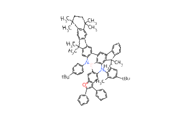 Cc1cc(C(C)(C)C)ccc1N1c2cc3c(-c4ccccc4)c(-c4ccccc4)oc3cc2B2c3c(cc4c(c31)C(C)(C)c1ccccc1-4)-c1cc3c(cc1N2c1ccc(C(C)(C)C)cc1)C(C)(C)c1cc2c(cc1-3)C(C)(C)CCC2(C)C